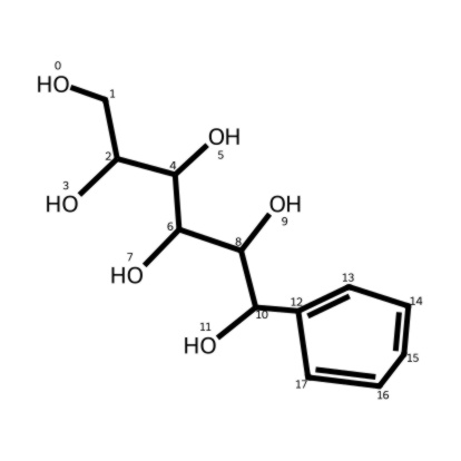 OCC(O)C(O)C(O)C(O)C(O)c1ccccc1